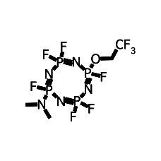 CN(C)P1(F)=NP(F)(F)=NP(F)(OCC(F)(F)F)=NP(F)(F)=N1